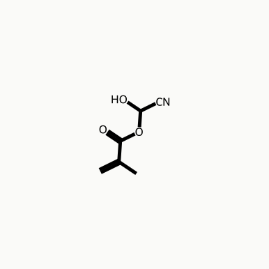 C=C(C)C(=O)OC(O)C#N